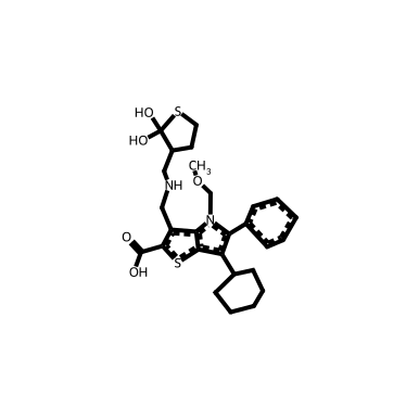 COCn1c(-c2ccccc2)c(C2CCCCC2)c2sc(C(=O)O)c(CNCC3CCSC3(O)O)c21